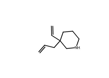 C=CCC1(C=C)CCCNC1